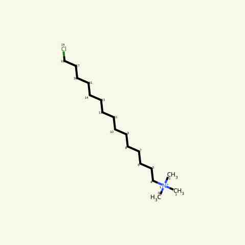 C[N+](C)(C)CCCCCCCCCCCCCCCCl